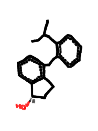 CC(C)c1ccccc1-c1cccc2c1CC[C@@H]2O